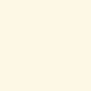 C=C(C)C(=O)O.CC(=O)O.CCOC(C)=O